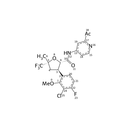 COc1c([C@H]2C[C@](C)(C(F)(F)F)O[C@@H]2C(=O)Nc2ccnc(C(C)=O)c2)ccc(F)c1Cl